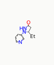 CCC1CC(=O)NN1c1cccnc1